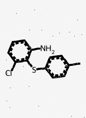 Cc1ccc(Sc2c(N)cccc2Cl)cc1